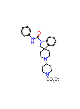 CCOC(=O)N1CCC(N2CCC3(CC2)CN(C(=O)Nc2ccccc2)c2ccccc23)CC1